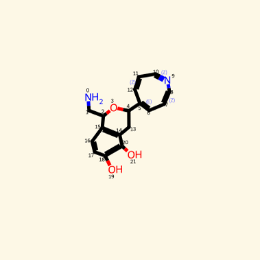 NCC1OC(C2=C/C=C\N=C/C=C\2)Cc2c1ccc(O)c2O